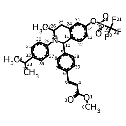 COC(=O)/C=C/c1ccc(C2c3ccc(OS(=O)(=O)C(F)(F)F)cc3CC(C)N2c2ccc(C(C)C)cc2)cc1